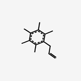 [CH]=CCc1c(C)c(C)c(C)c(C)c1C